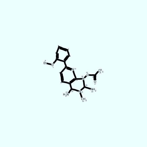 CCOc1ccccc1-c1ccc2c(n1)N(OC(=O)C(F)(F)F)C(N)N(C)C2N